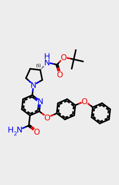 CC(C)(C)OC(=O)N[C@H]1CCN(c2ccc(C(N)=O)c(Oc3ccc(Oc4ccccc4)cc3)n2)C1